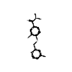 Cc1ccnc(COc2ccc(C(=O)N(C)C)cc2Br)c1